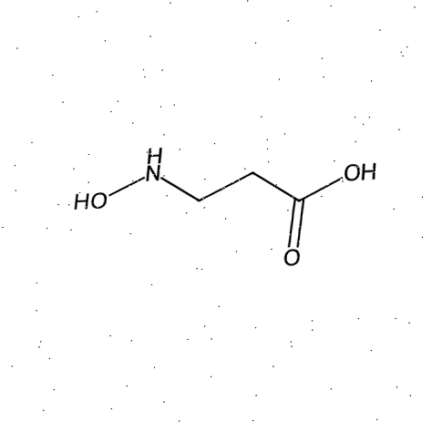 O=C(O)CCNO